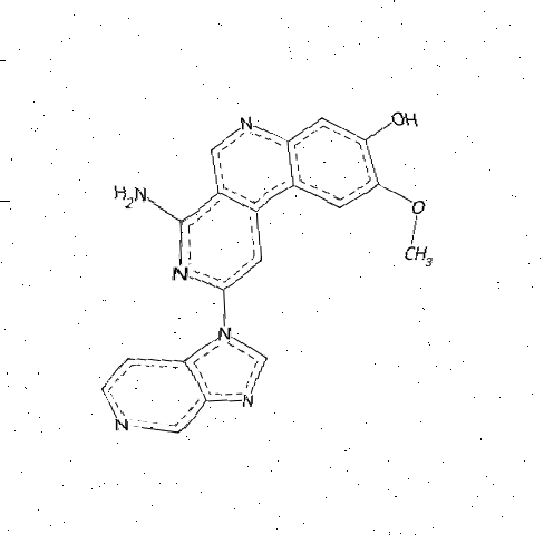 COc1cc2c(cc1O)ncc1c(N)nc(-n3cnc4cnccc43)cc12